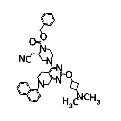 CN(C)C1CC(Oc2nc3c(c(N4CCN(C(=O)OCc5ccccc5)[C@@H](CC#N)C4)n2)CCN(c2cccc4ccccc24)C3)C1